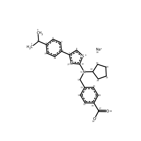 CC(C)c1ccc(-c2csc(N(Cc3ccc(C(=O)[O-])cc3)C3CCCC3)n2)cc1.[Na+]